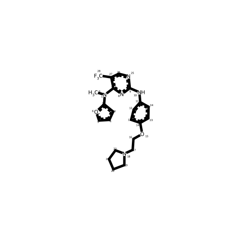 CN(c1ccco1)c1nc(Nc2ccc(OCCN3CCCC3)cc2)ncc1C(F)(F)F